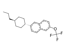 CCC[C@H]1CC[C@H](c2ccc3cc(OC(F)(F)F)ccc3c2)CC1